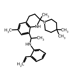 C=Cc1ccccc1NC(C)c1cc(C)cc2c1NC(C)(N1CCC(C)(C)CC1)CC2